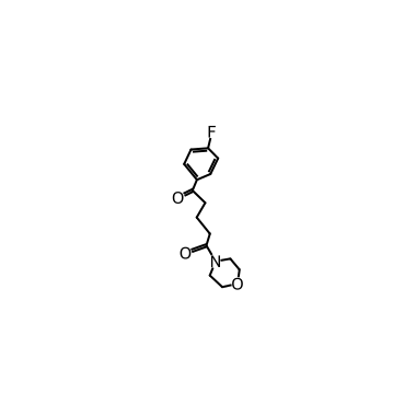 O=C(CCCC(=O)N1CCOCC1)c1ccc(F)cc1